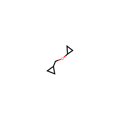 C1CC1COC1CC1